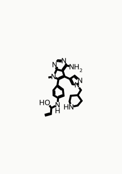 C=CC(O)Nc1ccc(-c2c(-c3cnn(CC4CCNCC4)c3)c3c(N)ncnc3n2C)cc1